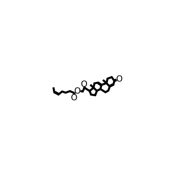 C/C=C\CCCC(=O)OCC(=O)C1CCC2C3CCC4=CC(=O)CCC4(C)C3=CCC12C